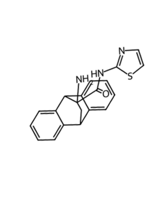 NC1(C(=O)Nc2nccs2)CC2c3ccccc3C1c1ccccc12